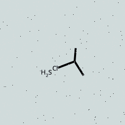 CC(C)Cl.S